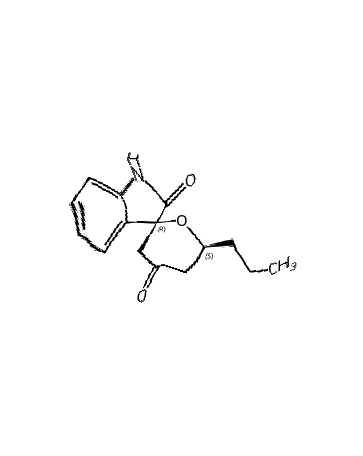 CCC[C@H]1CC(=O)C[C@]2(O1)C(=O)Nc1ccccc12